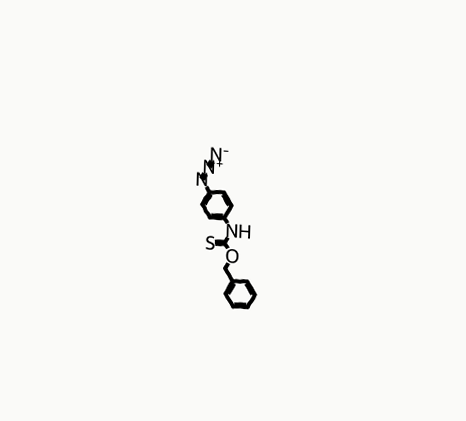 [N-]=[N+]=Nc1ccc(NC(=S)OCc2ccccc2)cc1